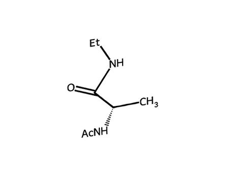 CCNC(=O)[C@H](C)NC(C)=O